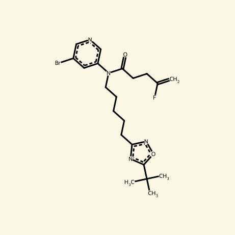 C=C(F)CCC(=O)N(CCCCCc1noc(C(C)(C)C)n1)c1cncc(Br)c1